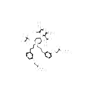 COC(=O)COc1cccc(CCC[N+]2(CCCc3cccc(OCC(=O)OC)c3)CCC[C@H](NC(=O)c3nc(Cl)c(N)nc3N)C2)c1.O=C([O-])C(F)(F)F